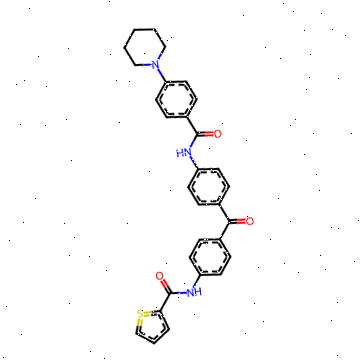 O=C(Nc1ccc(C(=O)c2ccc(NC(=O)c3cccs3)cc2)cc1)c1ccc(N2CCCCC2)cc1